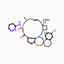 CO[C@H]1/C=C/C[C@H](C)C[S@@](=O)(Nc2cccnn2)=NC(=O)c2ccc3c(c2)N(C[C@@H]2CC[C@H]21)C[C@@]1(CCCc2cc(Cl)ccc21)CO3